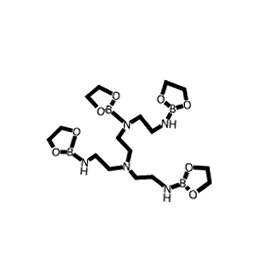 C(CN(CCNB1OCCO1)CCN(CCNB1OCCO1)B1OCCO1)NB1OCCO1